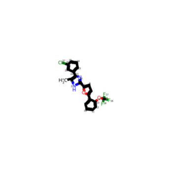 Cc1[nH]c(-c2ccc(-c3ccccc3OC(F)(F)F)o2)nc1-c1cccc(Cl)c1